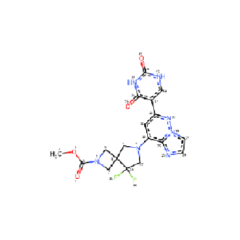 COC(=O)N1CC2(C1)CN(c1cc(-c3c[nH]c(=O)[nH]c3=O)nn3ccnc13)CC2(F)F